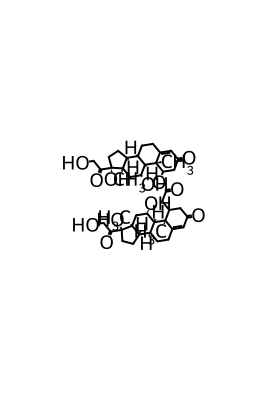 C[C@]12C[C@H](O)[C@H]3[C@@H](CCC4=CC(=O)CC(CC(=O)OC5CC(=O)C=C6CC[C@@H]7[C@H]([C@@H](O)C[C@@]8(C)[C@H]7CC[C@]8(O)C(=O)CO)[C@]65C)[C@@]43C)[C@@H]1CC[C@]2(O)C(=O)CO